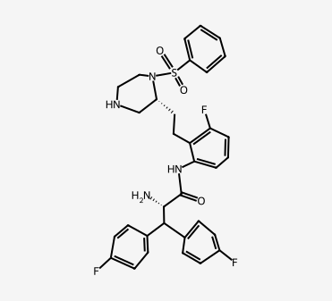 N[C@H](C(=O)Nc1cccc(F)c1CC[C@@H]1CNCCN1S(=O)(=O)c1ccccc1)C(c1ccc(F)cc1)c1ccc(F)cc1